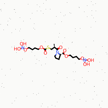 C[C@H](CSC(=O)OCCCCON(O)O)C(=O)N1CCC[C@H]1C(=O)OCCCCON(O)O